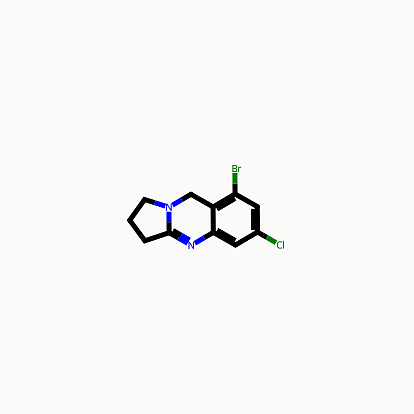 Clc1cc(Br)c2c(c1)N=C1CCCN1C2